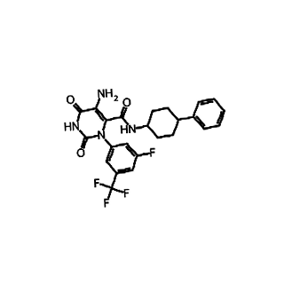 Nc1c(C(=O)NC2CCC(c3ccccc3)CC2)n(-c2cc(F)cc(C(F)(F)F)c2)c(=O)[nH]c1=O